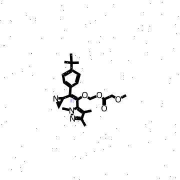 COCC(=O)OCO/C(=C(\c1ccc(C(C)(C)C)cc1)C1C=N1)c1c(C)c(C)nn1C